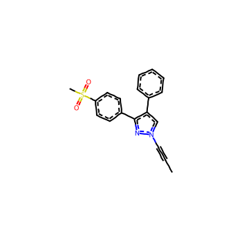 CC#Cn1cc(-c2ccccc2)c(-c2ccc(S(C)(=O)=O)cc2)n1